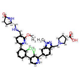 COc1nc(-c2cccc(-c3ccnc(-c4ccc5c(CN6CC[C@H](C(=O)O)C6)nn(C)c5c4)c3Cl)c2Cl)ccc1CNC[C@@H]1CCC(=O)N1